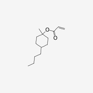 C=CC(=O)OC1(C)CCC(CCCC)CC1